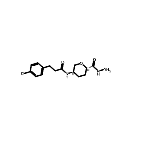 NNC(=O)[C@@H]1CC[C@@H](NC(=O)CCc2ccc(Cl)cc2)CO1